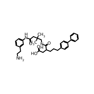 CC(C)(CNC(=O)C(CCCc1ccc(-c2ccccc2)cc1)CC(=O)O)CC(=O)Nc1cccc(CCN)c1